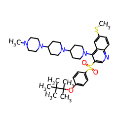 CSc1ccc2ncc(S(=O)(=O)c3ccc(OC(C)(C)C(C)(C)C)cc3)c(N3CCC(N4CCC(N5CCN(C)CC5)CC4)CC3)c2c1